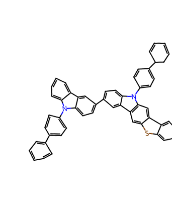 C1=CCC(c2ccc(-n3c4ccc(-c5ccc6c(c5)c5ccccc5n6-c5ccc(-c6ccccc6)cc5)cc4c4cc5sc6ccccc6c5cc43)cc2)C=C1